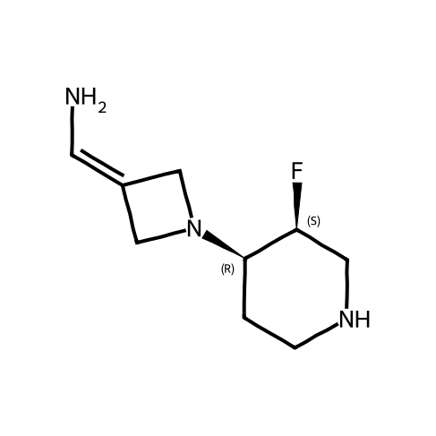 NC=C1CN([C@@H]2CCNC[C@@H]2F)C1